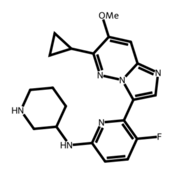 COc1cc2ncc(-c3nc(NC4CCCNC4)ccc3F)n2nc1C1CC1